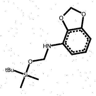 CC(C)(C)[Si](C)(C)OCNc1cccc2c1OCO2